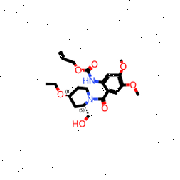 C=CCOC(=O)Nc1cc(OC)c(OC)cc1C(=O)N1CC[C@@H](OCC)C[C@H]1CO